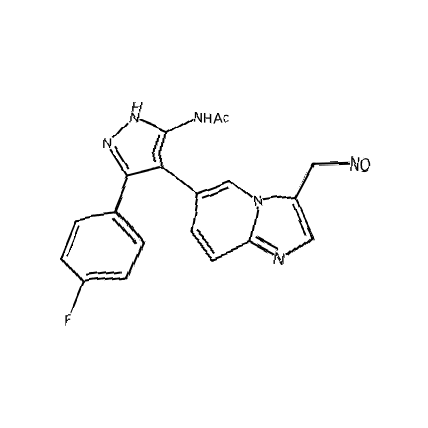 CC(=O)Nc1[nH]nc(-c2ccc(F)cc2)c1-c1ccc2ncc(CN=O)n2c1